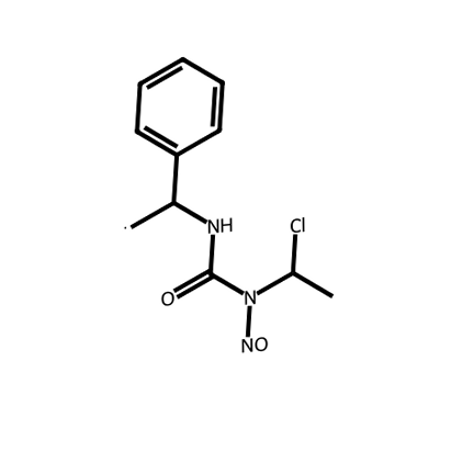 [CH2]C(NC(=O)N(N=O)C(C)Cl)c1ccccc1